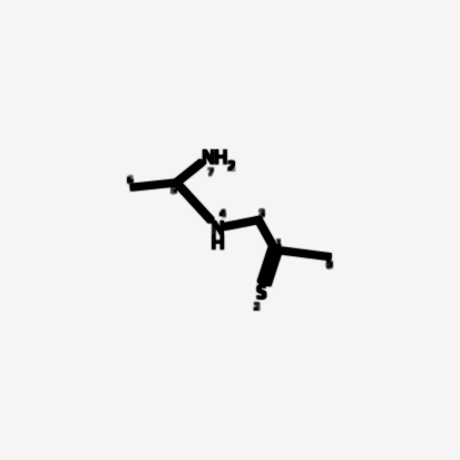 CC(=S)CNC(C)N